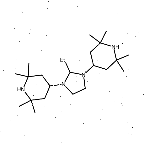 CCC1N(C2CC(C)(C)NC(C)(C)C2)CCN1C1CC(C)(C)NC(C)(C)C1